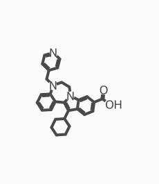 O=C(O)c1ccc2c(C3CCCCC3)c3n(c2c1)CCN(Cc1ccncc1)c1ccccc1-3